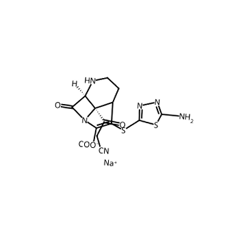 N#CCC(=O)[C@@]12C3CCN[C@@H]1C(=O)N2C(C(=O)[O-])=C3Sc1nnc(N)s1.[Na+]